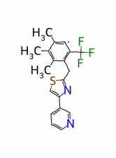 Cc1[c]c(C(F)(F)F)c(Cc2nc(-c3cccnc3)cs2)c(C)c1C